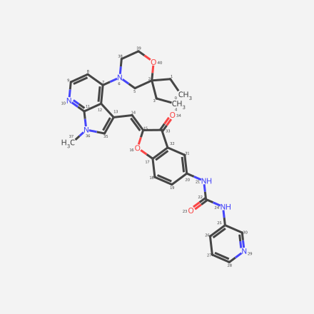 CCC1(CC)CN(c2ccnc3c2c(C=C2Oc4ccc(NC(=O)Nc5cccnc5)cc4C2=O)cn3C)CCO1